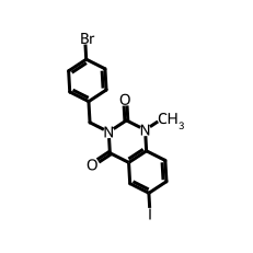 Cn1c(=O)n(Cc2ccc(Br)cc2)c(=O)c2cc(I)ccc21